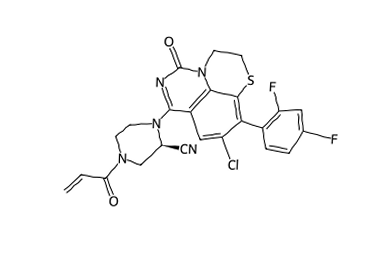 C=CC(=O)N1CCN(c2nc(=O)n3c4c(c(-c5ccc(F)cc5F)c(Cl)cc24)SCC3)[C@@H](C#N)C1